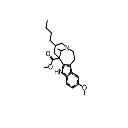 CCCCC1CN2CCc3c([nH]c4ccc(OC)cc34)C(C(=O)OC)(C1)C2C